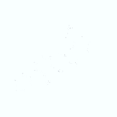 CCCCc1nc2cccc(CO)c2n1Cc1ccc(-c2ccccc2)c(C#N)c1